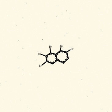 Brc1[c]c2ccc(Br)c(Br)c2c(Br)c1Br